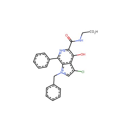 O=C(O)CNC(=O)c1nc(-c2ccccc2)c2c(c(Cl)cn2Cc2ccccc2)c1O